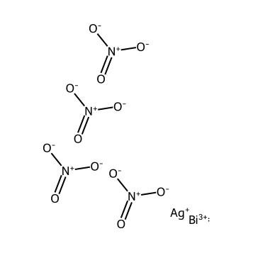 O=[N+]([O-])[O-].O=[N+]([O-])[O-].O=[N+]([O-])[O-].O=[N+]([O-])[O-].[Ag+].[Bi+3]